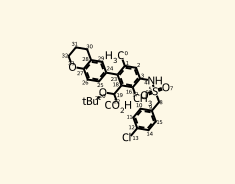 Cc1cc(NS(=O)(=O)Cc2ccc(Cl)cc2)c(C)c(C(OC(C)(C)C)C(=O)O)c1-c1ccc2c(c1)CCCO2